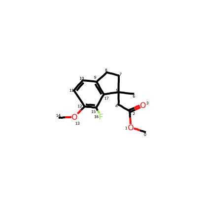 COC(=O)CC1(C)CCc2ccc(OC)c(F)c21